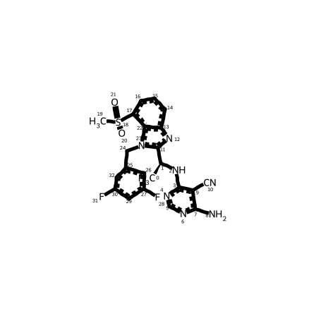 C[C@H](Nc1ncnc(N)c1C#N)c1nc2cccc(S(C)(=O)=O)c2n1Cc1cc(F)cc(F)c1